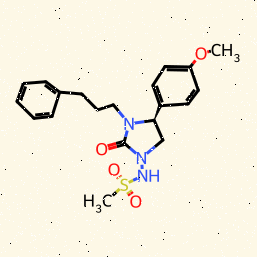 COc1ccc([C@H]2CN(NS(C)(=O)=O)C(=O)N2CCCc2ccccc2)cc1